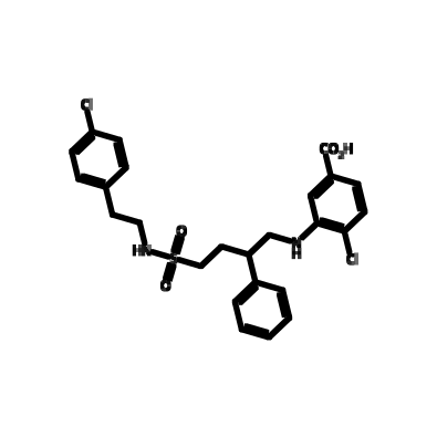 O=C(O)c1ccc(Cl)c(NCC(CCS(=O)(=O)NCCc2ccc(Cl)cc2)c2ccccc2)c1